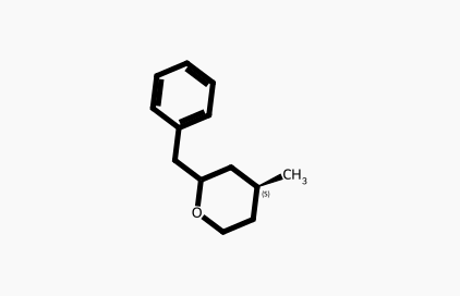 C[C@H]1CCOC(Cc2ccccc2)C1